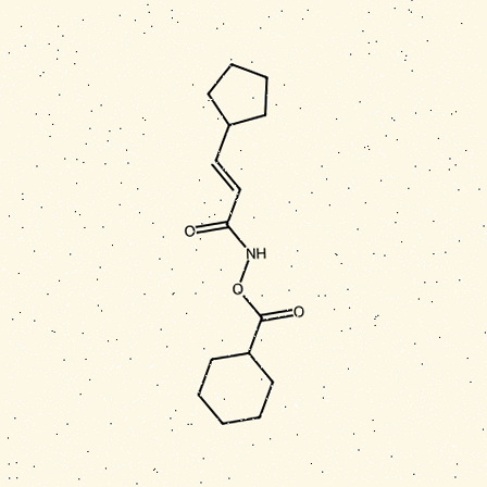 O=C(C=CC1CCCC1)NOC(=O)C1CCCCC1